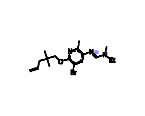 C=CCC(C)(C)COc1nc(C)c(/N=C/N(C)CC)cc1Br